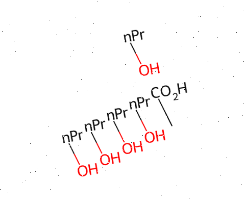 CC(=O)O.[CH2]CCO.[CH2]CCO.[CH2]CCO.[CH2]CCO.[CH2]CCO